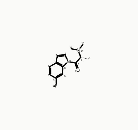 C[C@H](C(=O)n1ccc2ccc(F)cc21)N(C)C